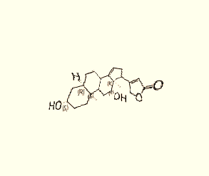 C[C@]12C(=CCC1C1=CC(=O)OC1)C1CC[C@@H]3C[C@@H](O)CC[C@]3(C)C1C[C@H]2O